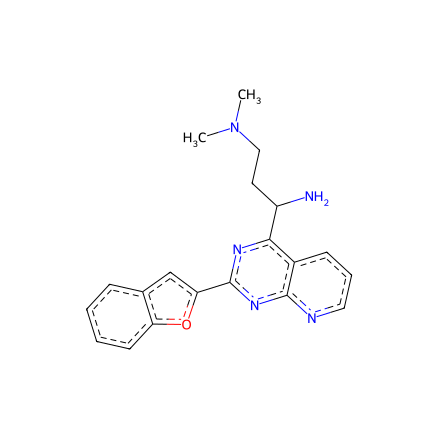 CN(C)CCC(N)c1nc(-c2cc3ccccc3o2)nc2ncccc12